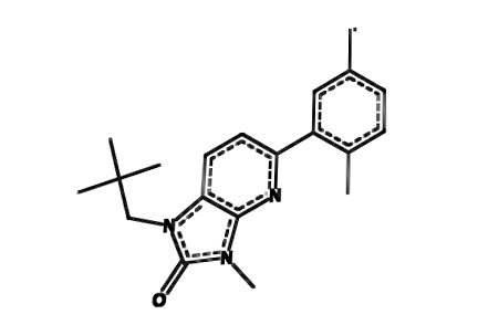 [CH2]c1ccc(C)c(-c2ccc3c(n2)n(C)c(=O)n3CC(C)(C)C)c1